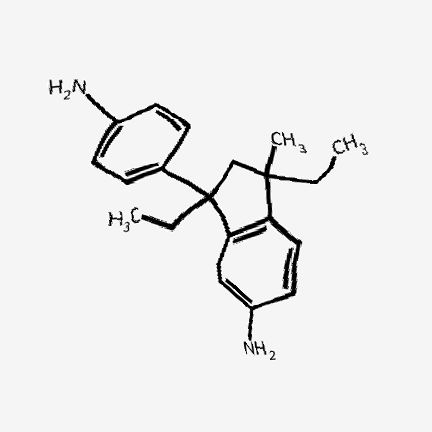 CCC1(C)CC(CC)(c2ccc(N)cc2)c2cc(N)ccc21